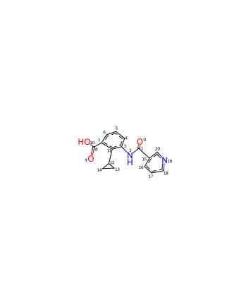 O=C(Nc1cccc(C(=O)O)c1C1CC1)c1cccnc1